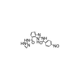 O=Nc1ccc(C(=O)Nc2nc3cccc(C(=O)Nc4ncc[nH]4)c3[nH]2)cc1